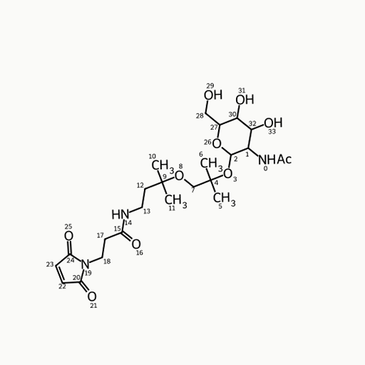 CC(=O)NC1C(OC(C)(C)COC(C)(C)CCNC(=O)CCN2C(=O)C=CC2=O)OC(CO)C(O)C1O